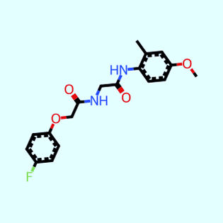 COc1ccc(NC(=O)CNC(=O)COc2ccc(F)cc2)c(C)c1